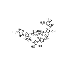 CO[C@@H]1[C@H](OP([O-])(=S)OC[C@H]2O[C@@H](n3ccc(=O)[nH]c3=O)[C@H](O)[C@@H]2O)[C@@H](COP(=O)(O)OP(=O)(O)OP(=O)(O)OC[C@H]2O[C@@H](n3c[n+](C)c4c(=O)[nH]c(N)nc43)[C@H](O)[C@@H]2CC(=O)N(C)C)O[C@H]1n1cnc2c(N)ncnc21